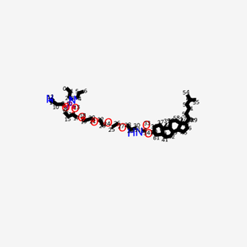 CCCN(CCC)P(OCCC#N)OC(CC)COCCOCCOCCOCCCNC(=O)O[C@H]1CC[C@@]2(C)C(=CCC3C4CCC([C@@H](C)CCCC(C)C)[C@@]4(C)CCC32)C1